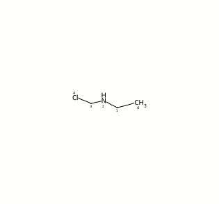 CCNCCl